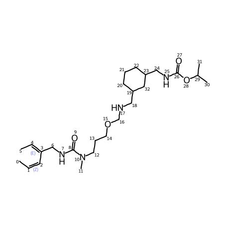 C/C=C\C(=C/C)CNC(=O)N(C)CCCOCNCC1CCCC(CNC(=O)OC(C)C)C1